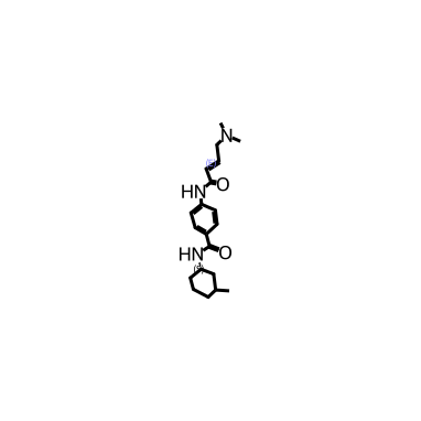 CC1CCC[C@H](NC(=O)c2ccc(NC(=O)/C=C/CN(C)C)cc2)C1